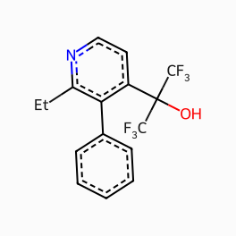 CCc1nccc(C(O)(C(F)(F)F)C(F)(F)F)c1-c1ccccc1